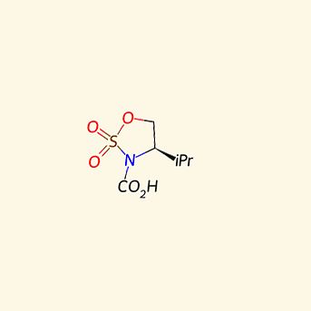 CC(C)[C@@H]1COS(=O)(=O)N1C(=O)O